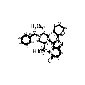 CC[C@@H]1CN(c2c3c(ccc(=O)n3C)nn2C2CCCCO2)[C@@H](CC)CN1Cc1ccccc1